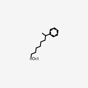 CCCCCCCCCCCCCC[C](C)c1ccccc1